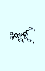 CCCOc1nn(CCC)cc1C(=O)Nc1cc(Cl)c(C(F)(F)F)cc1OC